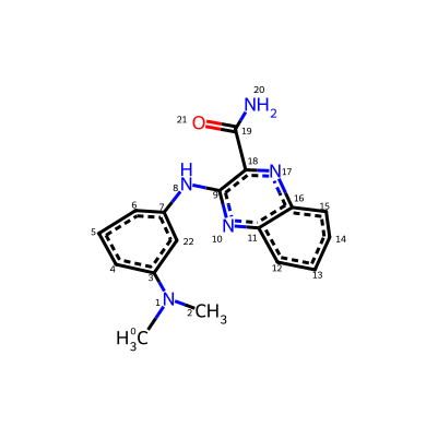 CN(C)c1cccc(Nc2nc3ccccc3nc2C(N)=O)c1